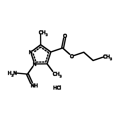 CCCOC(=O)c1c(C)nn(C(=N)N)c1C.Cl